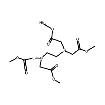 COC(=O)CN(CCN(CC(=O)OC)CC(=O)OC)CC(=O)OC.N